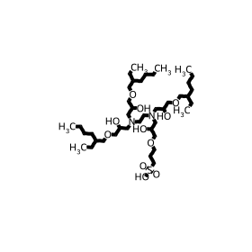 CCCCC(CC)COCC(O)CN(CCN(CC(O)COCC(CC)CCCC)CC(O)COCC(CC)CCCC)CC(O)COCCCS(=O)(=O)O